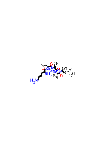 CC[C@H](C)[C@H](NC(=O)[C@H](C)NC(=O)[C@H](CC(C)C)NC(=O)[C@@H](N)CCCCN)C(=O)N[C@@H](CC(=O)O)C(=O)O